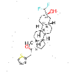 C[C@]12CC[C@H]3[C@@H](CC[C@H]4C[C@@](O)(C(F)F)CC[C@@H]43)[C@@H]1CC[C@@H]2C(=O)Cc1cccs1